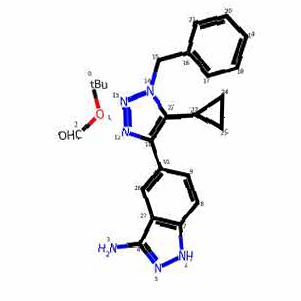 CC(C)(C)OC=O.Nc1n[nH]c2ccc(-c3nnn(Cc4ccccc4)c3C3CC3)cc12